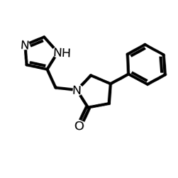 O=C1CC(c2ccccc2)CN1Cc1cnc[nH]1